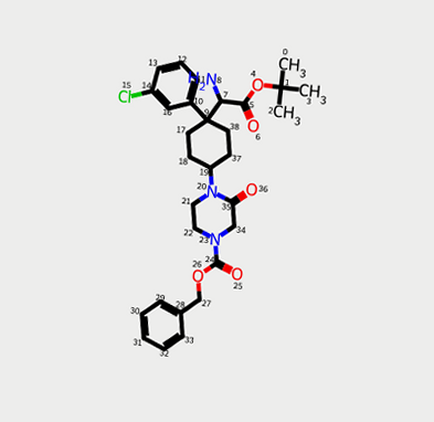 CC(C)(C)OC(=O)C(N)C1(c2cccc(Cl)c2)CCC(N2CCN(C(=O)OCc3ccccc3)CC2=O)CC1